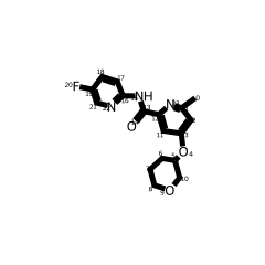 Cc1cc(OC2CCCOC2)cc(C(=O)Nc2ccc(F)cn2)n1